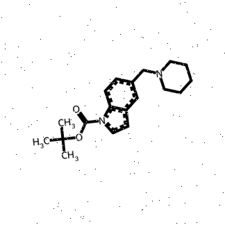 CC(C)(C)OC(=O)n1ccc2cc(CN3CCCCC3)ccc21